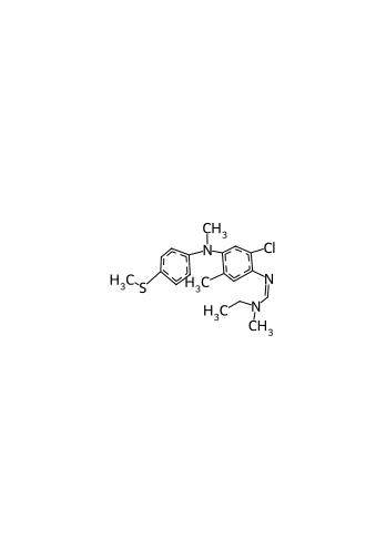 CCN(C)/C=N\c1cc(C)c(N(C)c2ccc(SC)cc2)cc1Cl